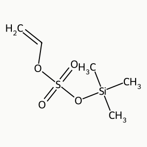 C=COS(=O)(=O)O[Si](C)(C)C